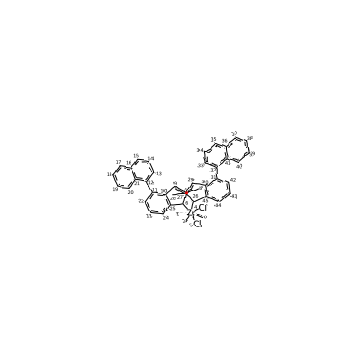 [CH2]=[Zr]([CH3])([CH3])([Cl])([Cl])([CH]1C(C)=Cc2c(-c3cccc4ccccc34)cccc21)[CH]1C(C)=Cc2c(-c3cccc4ccccc34)cccc21